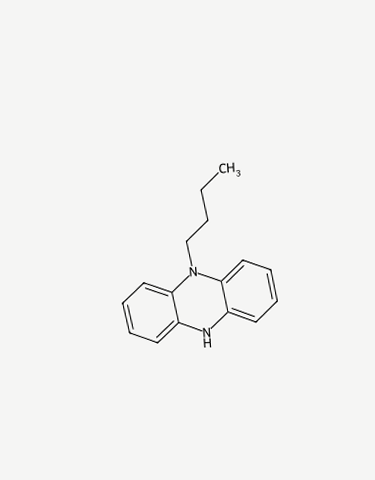 CCCCN1c2ccccc2Nc2ccccc21